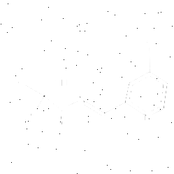 CC(C)(C)[S+]([O-])N=Cc1cc(Cl)ccn1